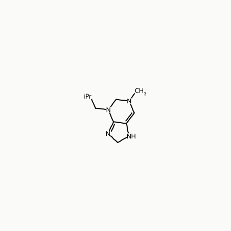 CC(C)CN1CN(C)C=C2NCN=C21